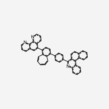 C1=CC=Cc2c(-c3cc4cccnc4c4ncccc34)ccc(-c3ccc(-c4nc5ccccc5c5c4ccc4ccccc45)cc3)c2C=1